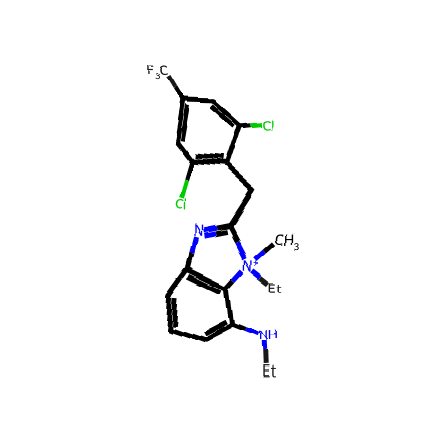 CCNc1cccc2c1[N+](C)(CC)C(Cc1c(Cl)cc(C(F)(F)F)cc1Cl)=N2